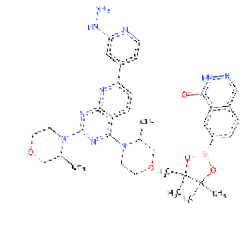 CC1(C)OB(c2ccc3cn[nH]c(=O)c3c2)OC1(C)C.CC1COCCN1c1nc(N2CCOCC2C)c2ccc(-c3ccnc(NN)c3)nc2n1